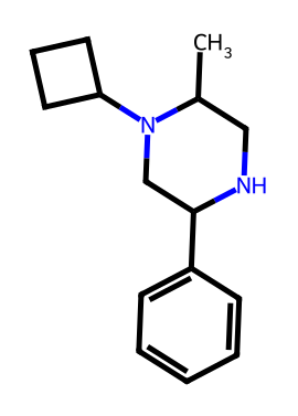 CC1CNC(c2ccccc2)CN1C1CCC1